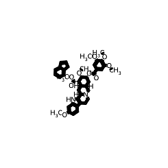 C1=Cc2ccccc2C1.COC(=O)[C@H]1[C@H]2C[C@@H]3c4[nH]c5cc(OC)ccc5c4CCN3C[C@H]2C[C@@H](OC(=O)c2cc(OC)c(OC)c(OC)c2)[C@@H]1OC